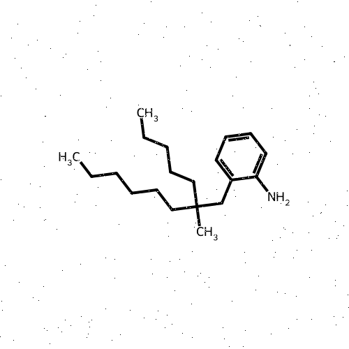 CCCCCCC(C)(CCCCC)Cc1ccccc1N